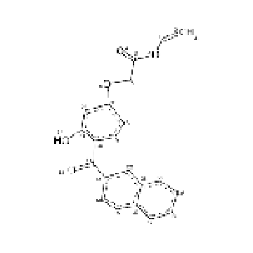 C=COC(=O)COc1ccc(C(=O)c2ccc3ccccc3c2)c(O)c1